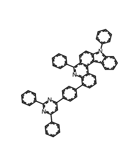 c1ccc(-c2cc(-c3ccc(-c4cccc5c4nc(-c4ccccc4)c4ccc6c(c7ccccc7n6-c6ccccc6)c45)cc3)nc(-c3ccccc3)n2)cc1